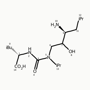 CCC(C)[C@H](NC(=O)N(CC(O)[C@@H](N)CC(C)C)C(C)C)C(=O)O